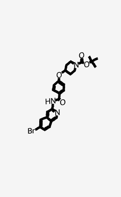 CC(C)(C)OC(=O)N1CCC(Oc2ccc(C(=O)Nc3cc4cc(Br)ccc4cn3)cc2)CC1